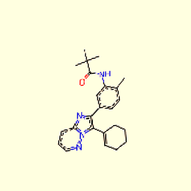 Cc1ccc(-c2nc3cccnn3c2C2=CCCCC2)cc1NC(=O)C(C)(C)C